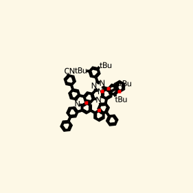 CC(C)(C)c1cc(-c2nc(-c3cc(C(C)(C)C)cc(C(C)(C)C)c3)nc(-c3cc(-c4cc(-c5ccc(C#N)cc5)ccc4-n4c5ccc(-c6ccccc6)cc5c5cc(-c6ccccc6)ccc54)ccc3-n3c4ccc(-c5ccccc5)cc4c4cc(-c5ccccc5)ccc43)n2)cc(C(C)(C)C)c1